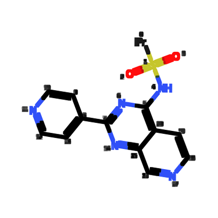 CC(C)S(=O)(=O)Nc1nc(-c2ccncc2)nc2cnccc12